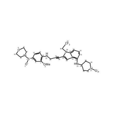 COc1cc([S+]([O-])N2CCOCC2)ccc1NCC#Cc1cc2c(NC3CC[S+]([O-])CC3)cccc2n1CC(F)(F)F